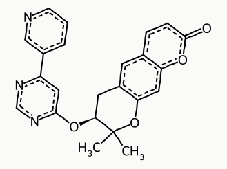 CC1(C)Oc2cc3oc(=O)ccc3cc2C[C@@H]1Oc1cc(-c2cccnc2)ncn1